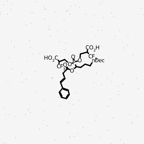 CCCCCCCCCCCCCC(OC(=O)CC=Cc1ccccc1)P(=O)(OCC(C(=O)O)C(F)(F)F)OCC(C(=O)O)C(F)(F)F